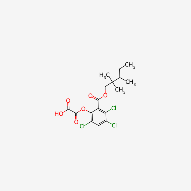 CCC(C)C(C)(C)COC(=O)c1c(Cl)c(Cl)cc(Cl)c1OC(=O)C(=O)O